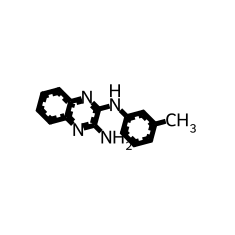 Cc1cccc(Nc2nc3ccccc3nc2N)c1